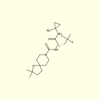 CC(F)(F)C[C@H](NC(=O)N1CCC2(CC1)CCC(C)(C)O2)C(=O)NC1(C#N)CC1